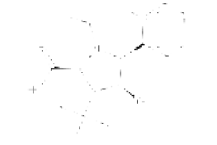 CCN1[C@H](C(=O)O)[C@@H](C(C)(C)C)[C@H](O)[C@@H]1c1ccccc1C